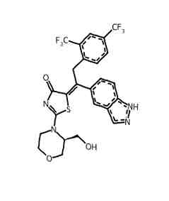 O=C1N=C(N2CCOC[C@@H]2CO)SC1=C(Cc1ccc(C(F)(F)F)cc1C(F)(F)F)c1ccc2[nH]ncc2c1